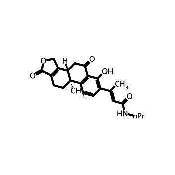 CCCNC(=O)/C=C(\C)c1ccc2c(c1O)C(=O)C[C@H]1C3=C(CC[C@]21C)C(=O)OC3